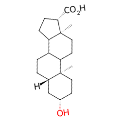 C[C@]12CCC3C(CC[C@H]4C[C@@H](O)CC[C@]34C)C1CC[C@@H]2C(=O)O